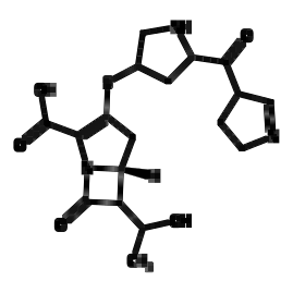 CC(O)C1C(=O)N2C(C(=O)O)=C(SC3CNC(C(=O)C4C=NCC4)C3)C[C@H]12